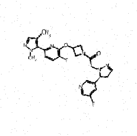 Cc1cnn(C)c1-c1ccc(F)c(OC2CN(C(=O)CN3N=CC[C@H]3c3cncc(F)c3)C2)n1